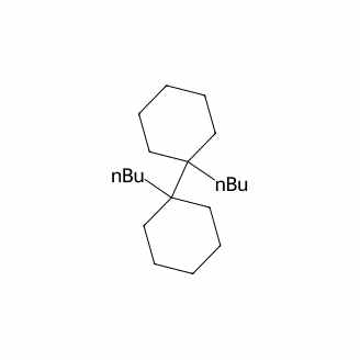 CCCCC1(C2(CCCC)CCCCC2)CCCCC1